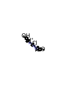 COc1ccc2c(c1)C(C)(C)/C(=C\C=C1/CCC(/C=C/C3=[N+](C)c4ccc(CO)cc4C3(C)C)=C1Cl)N2C